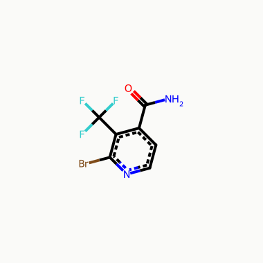 NC(=O)c1ccnc(Br)c1C(F)(F)F